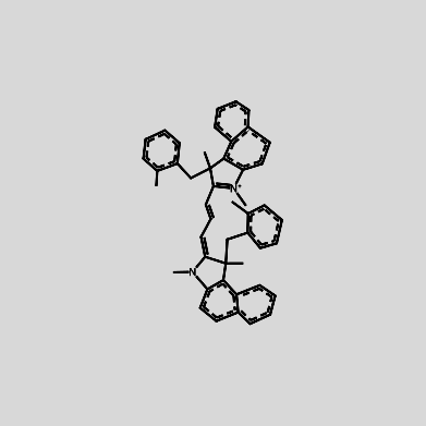 Cc1ccccc1CC1(C)C(/C=C/C=C2/N(C)c3ccc4ccccc4c3C2(C)Cc2ccccc2C)=[N+](C)c2ccc3ccccc3c21